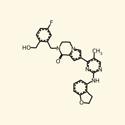 Cc1cnc(Nc2cccc3c2CCO3)nc1-c1cc2n(c1)CCN(Cc1cc(F)ccc1CO)C2=O